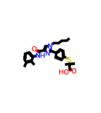 CCCCCn1cc(C(=O)Nc2cccc(C)c2C)nc1-c1ccc(SC(C)(C)C(=O)O)cc1